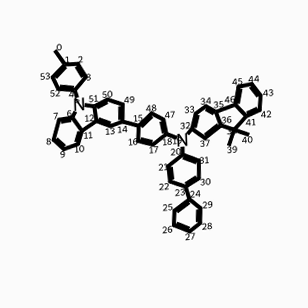 Cc1ccc(-n2c3ccccc3c3cc(-c4ccc(N(c5ccc(-c6ccccc6)cc5)c5ccc6c(c5)C(C)(C)c5ccccc5-6)cc4)ccc32)cc1